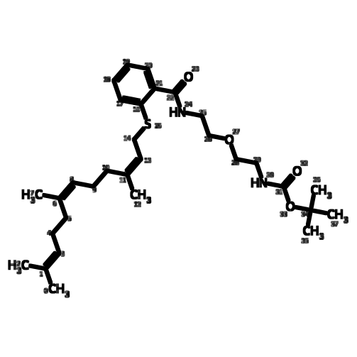 CC(C)=CCCC(C)=CCCC(C)=CCSc1ccccc1C(=O)NCCOCCNC(=O)OC(C)(C)C